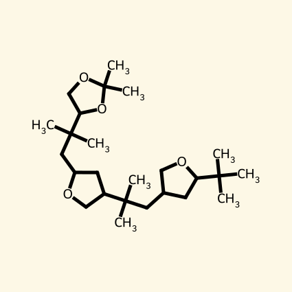 CC1(C)OCC(C(C)(C)CC2CC(C(C)(C)CC3COC(C(C)(C)C)C3)CO2)O1